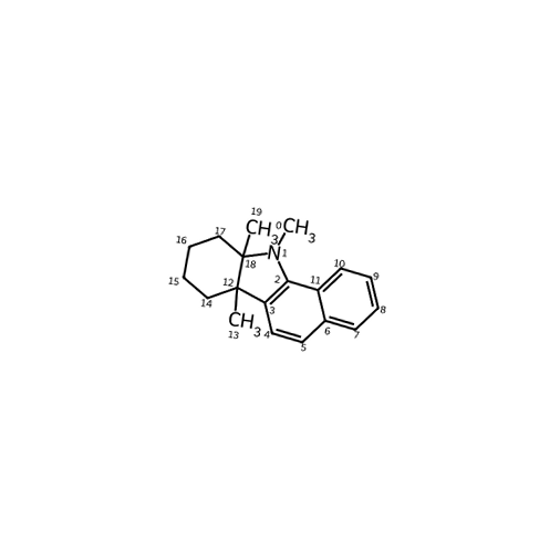 CN1c2c(ccc3ccccc23)C2(C)CCCCC12C